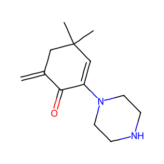 C=C1CC(C)(C)C=C(N2CCNCC2)C1=O